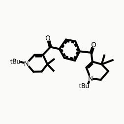 CC1(C)CCN(C(C)(C)C)C=C1C(=O)c1ccc(C(=O)C2=CN(C(C)(C)C)CCC2(C)C)cc1